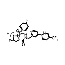 C[C@H]1[C@H](F)C[C@@H](C(=O)NCc2cc(-c3ccc(C(F)(F)F)cn3)ccn2)N1S(=O)(=O)c1ccc(F)cc1